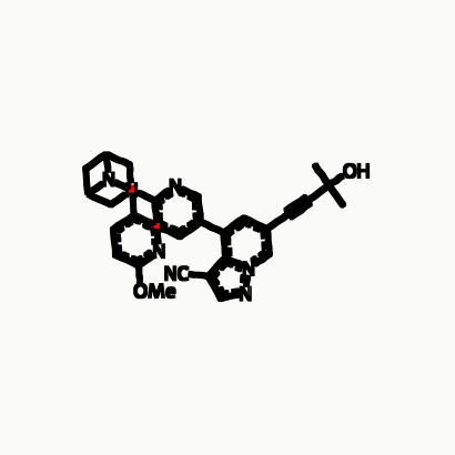 COc1ccc(CN2C3CC2CN(c2ccc(-c4cc(C#CC(C)(C)O)cn5ncc(C#N)c45)cn2)C3)cn1